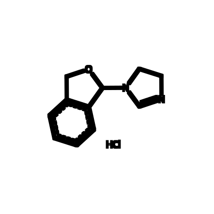 C1=NCCN1C1OCc2ccccc21.Cl